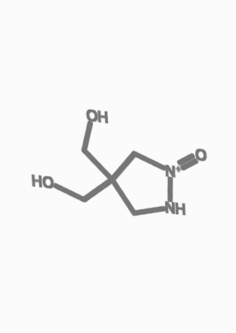 O=[N+]1CC(CO)(CO)CN1